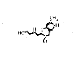 CCN(CCNCCO)CC1=C(C)C=C(C)NC1